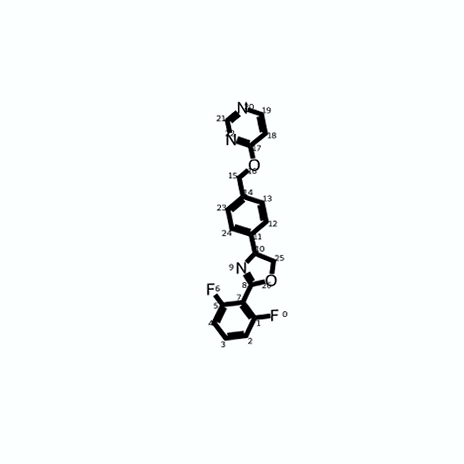 Fc1cccc(F)c1C1=NC(c2ccc(COc3ccncn3)cc2)CO1